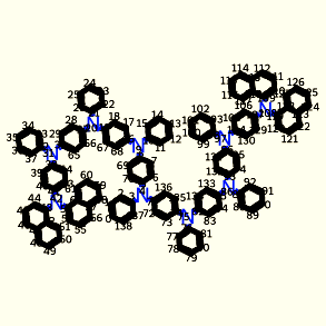 c1ccc(N(c2ccc(N(c3ccccc3)c3ccc(N(c4ccccc4)c4ccc(N(c5ccccc5)c5ccc(N(c6cccc7ccccc67)c6cccc7ccccc67)cc5)cc4)cc3)cc2)c2ccc(N(c3ccccc3)c3ccc(N(c4ccccc4)c4ccc(N(c5ccccc5)c5ccc(N(c6cccc7ccccc67)c6cccc7ccccc67)cc5)cc4)cc3)cc2)cc1